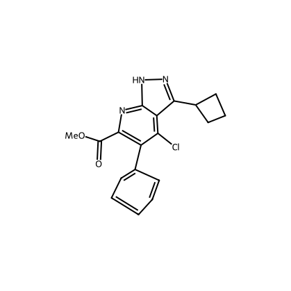 COC(=O)c1nc2[nH]nc(C3CCC3)c2c(Cl)c1-c1ccccc1